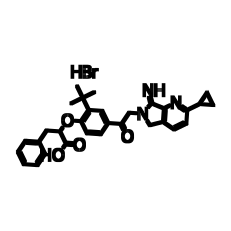 Br.CC(C)(C)c1cc(C(=O)CN2Cc3ccc(C4CC4)nc3C2=N)ccc1OC(Cc1ccccc1)C(=O)O